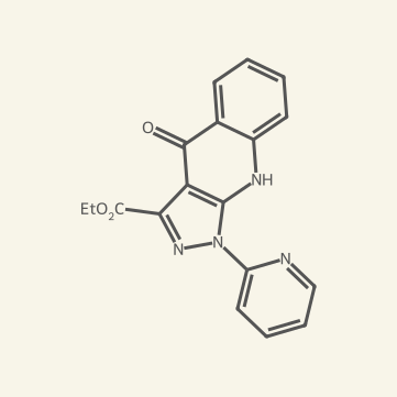 CCOC(=O)c1nn(-c2ccccn2)c2[nH]c3ccccc3c(=O)c12